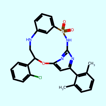 Cc1cccc(C)c1-c1cc2nc(n1)NS(=O)(=O)c1cccc(c1)NCC(c1ccccc1Cl)O2